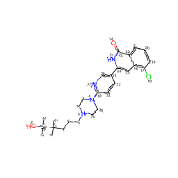 CC(C)(CCCN1CCN(c2ccc(-c3cc4c(Cl)cccc4c(=O)[nH]3)cn2)CC1)[Si](C)(C)O